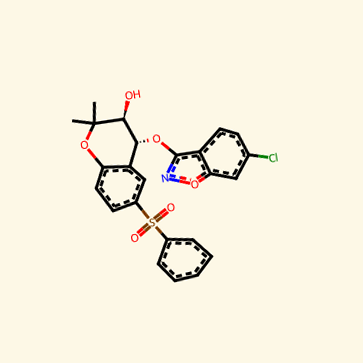 CC1(C)Oc2ccc(S(=O)(=O)c3ccccc3)cc2[C@@H](Oc2noc3cc(Cl)ccc23)[C@@H]1O